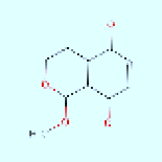 COC1O[CH]CC2C(=O)C=CC(=O)C12